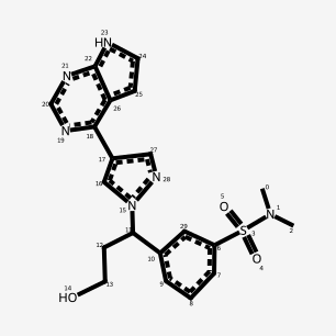 CN(C)S(=O)(=O)c1cccc(C(CCO)n2cc(-c3ncnc4[nH]ccc34)cn2)c1